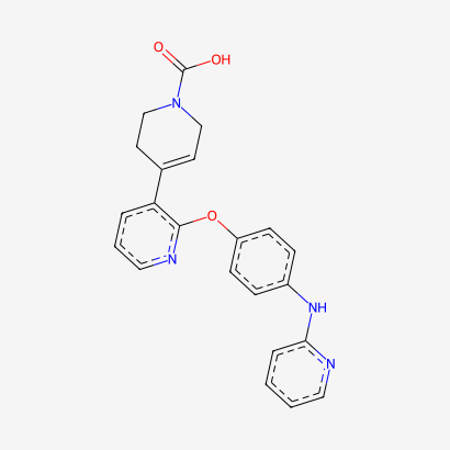 O=C(O)N1CC=C(c2cccnc2Oc2ccc(Nc3ccccn3)cc2)CC1